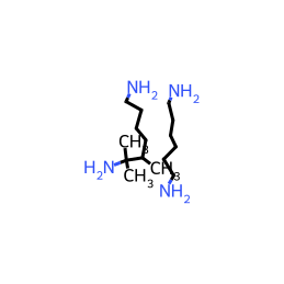 CC(CCCCN)C(C)(C)N.NCCCCCCN